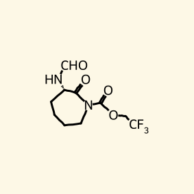 O=CN[C@H]1CCCCN(C(=O)OCC(F)(F)F)C1=O